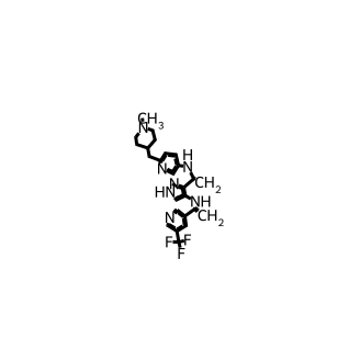 C=C(Nc1c[nH]nc1C(=C)Nc1ccc(CC2CCN(C)CC2)nc1)c1cncc(C(F)(F)F)c1